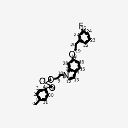 Cc1ccc(S(=O)(=O)OCCn2ccc3ccc(OCCc4cccc(F)c4)cc32)cc1